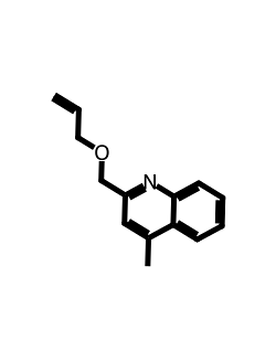 C=CCOCc1cc(C)c2ccccc2n1